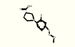 COOSc1ccc(N2CC[C@H](C(=O)O)C2)c(F)c1